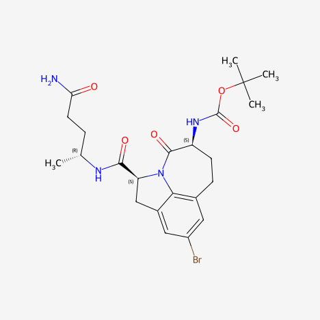 C[C@H](CCC(N)=O)NC(=O)[C@@H]1Cc2cc(Br)cc3c2N1C(=O)[C@@H](NC(=O)OC(C)(C)C)CC3